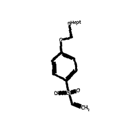 C=CS(=O)(=O)c1ccc(OCCCCCCCC)cc1